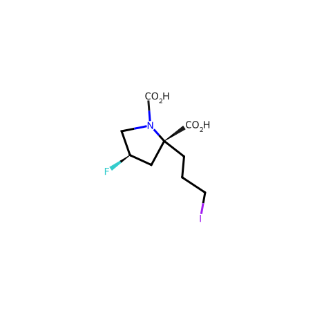 O=C(O)N1C[C@H](F)C[C@]1(CCCI)C(=O)O